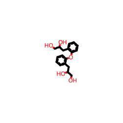 OCC(O)Cc1ccccc1Oc1ccccc1CC(O)CO